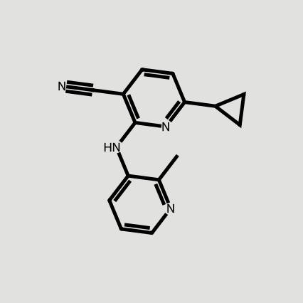 Cc1ncccc1Nc1nc(C2CC2)ccc1C#N